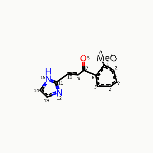 COc1ccccc1C(=O)C=Cc1ncc[nH]1